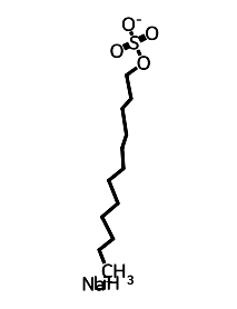 CCCCCCCCCCCCOS(=O)(=O)[O-].[LiH].[Na+]